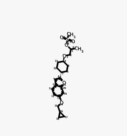 CC(CO[C@H]1CC[C@H](c2cc3ccc(OCC4CC4)cc3o2)CC1)OS(C)(=O)=O